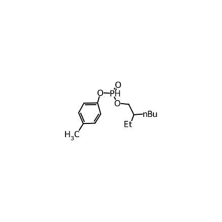 CCCCC(CC)CO[PH](=O)Oc1ccc(C)cc1